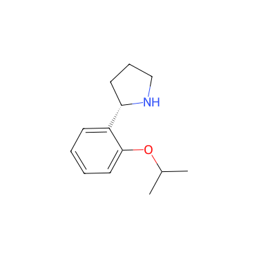 CC(C)Oc1ccccc1[C@@H]1CCCN1